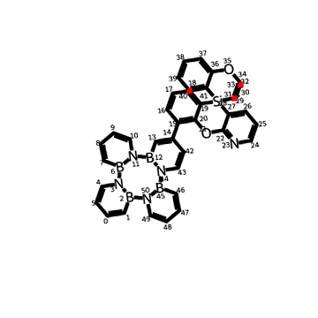 C1=CB2N(C=C1)B1C=CC=CN1B1C=C(c3cccc4c3Oc3ncccc3[Si]43c4ccccc4Oc4ccccc43)C=CN1B1C=CC=CN21